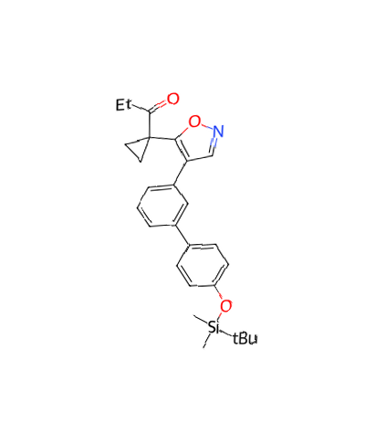 CCC(=O)C1(c2oncc2-c2cccc(-c3ccc(O[Si](C)(C)C(C)(C)C)cc3)c2)CC1